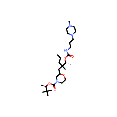 CCCC(C)(CC1CN(C(=O)O[C@H](C)C(C)(C)C)CCO1)[C@@H](C)OC(=O)NCCCN1CCN(C)CC1